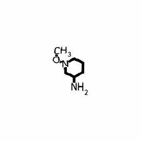 CON1CCCC(N)C1